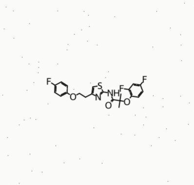 CC(C)(Oc1ccc(F)cc1F)C(=O)Nc1nc(CCOc2ccc(F)cc2)cs1